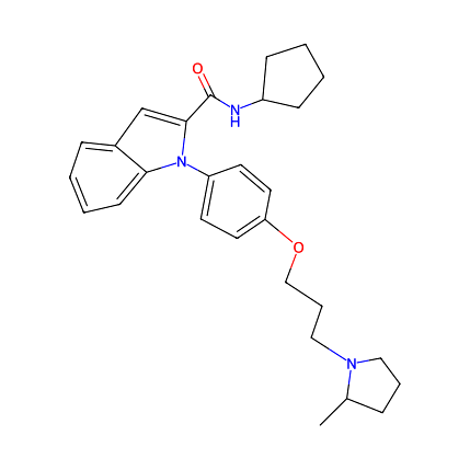 CC1CCCN1CCCOc1ccc(-n2c(C(=O)NC3CCCC3)cc3ccccc32)cc1